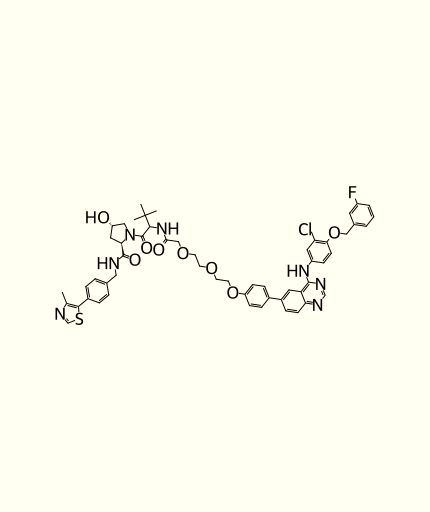 Cc1ncsc1-c1ccc(CNC(=O)[C@H]2C[C@H](O)CN2C(=O)C(NC(=O)COCCOCCOc2ccc(-c3ccc4ncnc(Nc5ccc(OCc6cccc(F)c6)c(Cl)c5)c4c3)cc2)C(C)(C)C)cc1